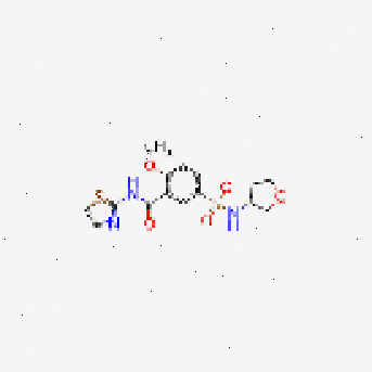 COc1ccc(S(=O)(=O)NC2CCOC2)cc1C(=O)Nc1nccs1